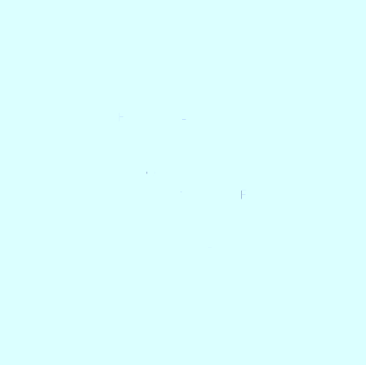 CC(C)(OC(F)F)C(F)F